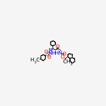 Cc1ccc(S(=O)(=O)N/N=C2\C[C@H](CNC(=O)OC(C)c3cccc4ccccc34)Oc3ccccc32)cc1